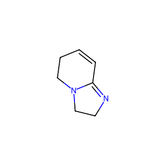 C1=CC2=NCCN2CC1